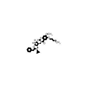 COCCCOc1cc(C(=O)N(C[C@@H]2CNC[C@H]2CN(C(=O)Cc2ccccc2)C2CC2)C(C)C)ccc1OC